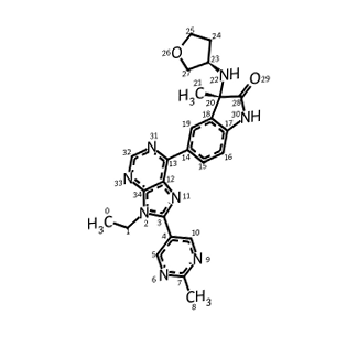 CCn1c(-c2cnc(C)nc2)nc2c(-c3ccc4c(c3)[C@](C)(N[C@@H]3CCOC3)C(=O)N4)ncnc21